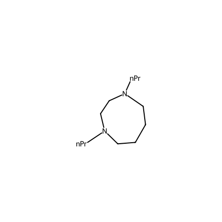 CCCN1CCCCN(CCC)CC1